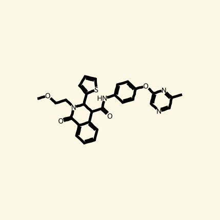 COCCN1C(=O)c2ccccc2C(C(=O)Nc2ccc(Oc3cncc(C)n3)cc2)C1c1cccs1